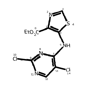 CCOC(=O)c1ncsc1Nc1nc(Cl)ncc1Cl